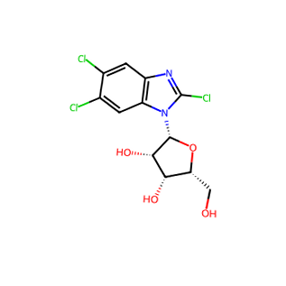 OC[C@H]1O[C@@H](n2c(Cl)nc3cc(Cl)c(Cl)cc32)[C@@H](O)[C@H]1O